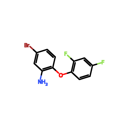 Nc1cc(Br)ccc1Oc1ccc(F)cc1F